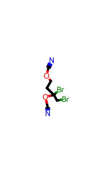 N#COCCC(Br)(CBr)OC#N